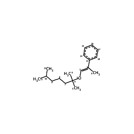 C/C(=C\OC(C)(C)CCCC(C)C)c1ccccc1